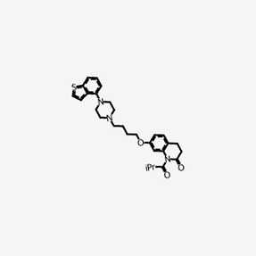 CC(C)C(=O)N1C(=O)CCc2ccc(OCCCCN3CCN(c4cccc5sccc45)CC3)cc21